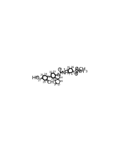 CNS(=O)(=O)c1ccc(CNC(=O)N2CC3(CCCC3)c3cc(-c4ccc(CO)cc4C)ccc32)cc1